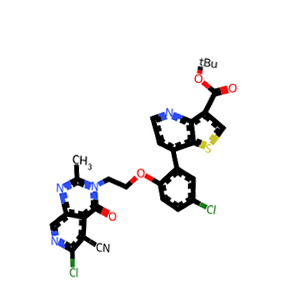 Cc1nc2cnc(Cl)c(C#N)c2c(=O)n1CCOc1ccc(Cl)cc1-c1ccnc2c(C(=O)OC(C)(C)C)csc12